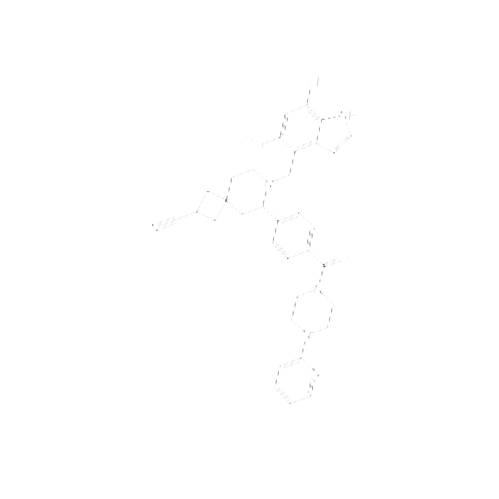 COc1cc(C)c2[nH]ccc2c1CN1CCC2(CC(C#N)C2)CC1c1ccc(C(=O)N2CCN(c3ccccn3)CC2)cc1